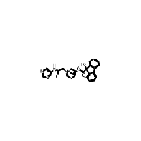 O=C(C[N+]12CCC(CC1)C(OC(=O)C1(O)c3ccccc3-c3ccccc31)C2)Nc1cncnc1